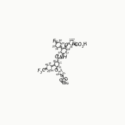 CC(C)(C)OC(=O)N1CC[C@H](Oc2ccc(C(=O)Nc3ccc(O[C@H]4CCN(C(=O)O)C4)c(-c4ccc(F)cc4)c3)cc2C2CCC(C(F)(F)F)CC2)C1